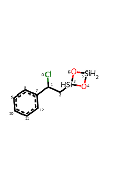 ClC(C[SiH]1O[SiH2]O1)c1ccccc1